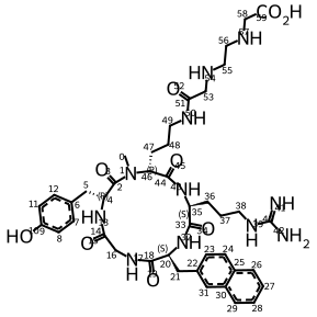 CN1C(=O)[C@@H](Cc2ccc(O)cc2)NC(=O)CNC(=O)[C@H](Cc2ccc3ccccc3c2)NC(=O)[C@H](CCCNC(=N)N)NC(=O)[C@H]1CCCNC(=O)CNCCNCC(=O)O